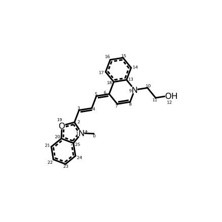 C[n+]1c(C=CC=C2C=CN(CCO)c3ccccc32)oc2ccccc21